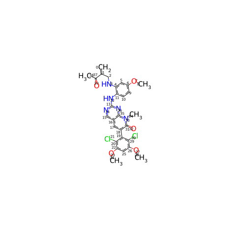 C=C(CNc1cc(OC)ccc1Nc1ncc2cc(-c3c(Cl)c(OC)cc(OC)c3Cl)c(=O)n(C)c2n1)C(C)=O